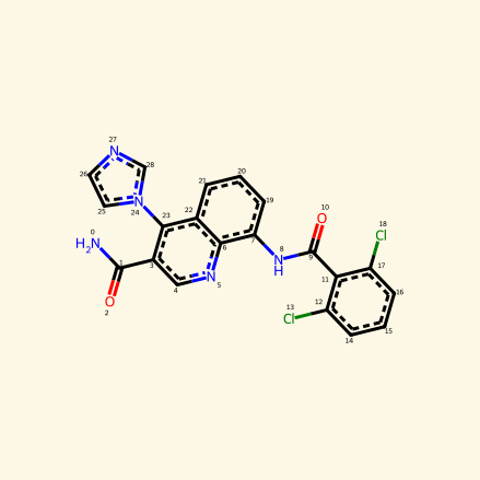 NC(=O)c1cnc2c(NC(=O)c3c(Cl)cccc3Cl)cccc2c1-n1ccnc1